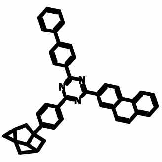 c1ccc(-c2ccc(-c3nc(-c4ccc(C56CC7CC8(CC8C5)C76)cc4)nc(-c4ccc5c(ccc6ccccc65)c4)n3)cc2)cc1